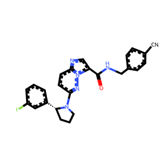 N#Cc1ccc(CNC(=O)c2cnc3ccc(N4CCC[C@@H]4c4cccc(F)c4)nn23)cc1